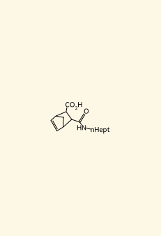 CCCCCCCNC(=O)C1C2C=CC(C2)C1C(=O)O